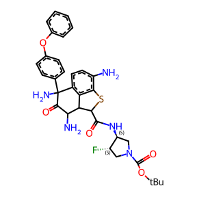 CC(C)(C)OC(=O)N1C[C@H](NC(=O)C2Sc3c(N)ccc4c3C2C(N)C(=O)C4(N)c2ccc(Oc3ccccc3)cc2)[C@@H](F)C1